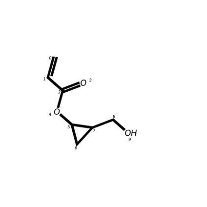 C=CC(=O)OC1CC1CO